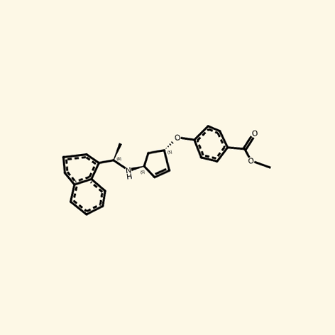 COC(=O)c1ccc(O[C@@H]2C=C[C@@H](N[C@H](C)c3cccc4ccccc34)C2)cc1